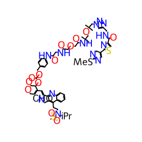 CSc1ncc(-c2nc(C(=O)NCc3cn(CC(C)(C)OCC(C)(C)NC(=O)COCC(=O)NCC(=O)Nc4ccc(COC(=O)OC5C(=O)OCC(C=O)=C5/C=C5/c6nc7ccccc7c(CCN(C(C)C)S(C)(=O)=O)c6CN5C)cc4)nn3)cs2)cn1